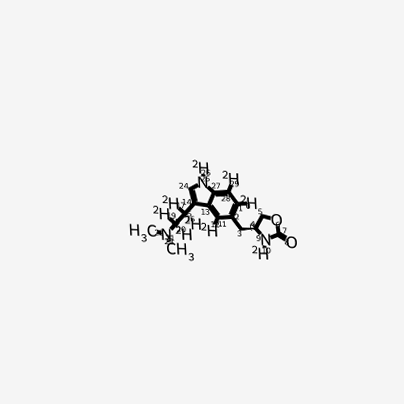 [2H]c1c(C[C@H]2COC(=O)N2[2H])c([2H])c2c(C([2H])([2H])C([2H])([2H])N(C)C)cn([2H])c2c1[2H]